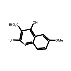 CCOC(=O)c1c(C(F)(F)F)nc2ccc(OC)cc2c1O